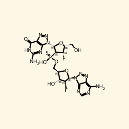 Nc1nc2c(nnn2[C@@H]2O[C@H](CO)[C@H](F)[C@H]2P(O)(=S)OC[C@H]2O[C@@H](n3nnc4c(N)ncnc43)[C@@H](F)[C@@H]2O)c(=O)[nH]1